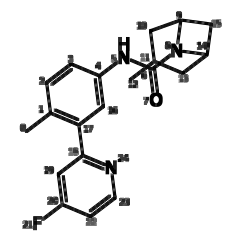 Cc1ccc(NC(=O)N2C3CC(C)CC2C3)cc1-c1cc(F)ccn1